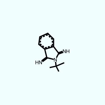 CC(C)(C)N1C(=N)c2ccccc2C1=N